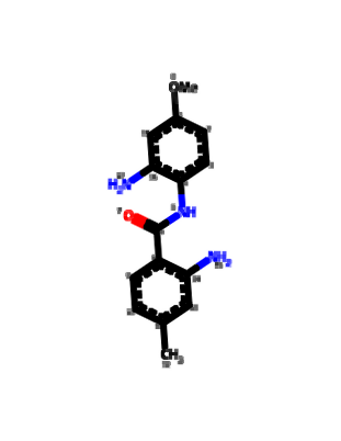 COc1ccc(NC(=O)c2ccc(C)cc2N)c(N)c1